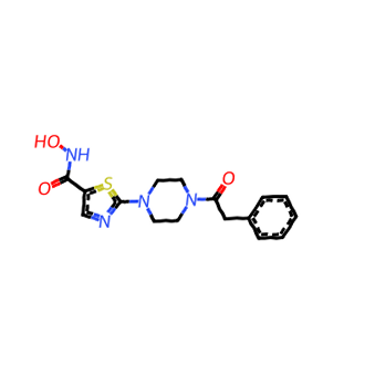 O=C(NO)c1cnc(N2CCN(C(=O)Cc3ccccc3)CC2)s1